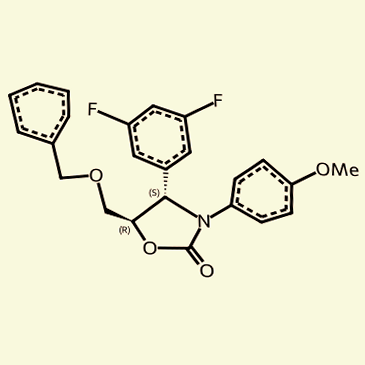 COc1ccc(N2C(=O)O[C@@H](COCc3ccccc3)[C@@H]2c2cc(F)cc(F)c2)cc1